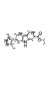 CCOC(=O)c1cc2[nH]c3cc(-c4c(C)nnn4C)cnc3c2cn1